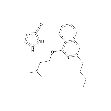 CCCCc1cc2ccccc2c(OCCN(C)C)n1.O=c1cc[nH][nH]1